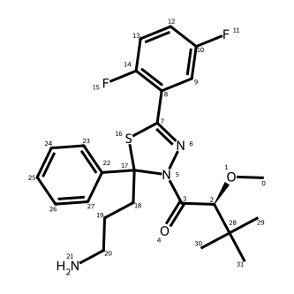 CO[C@H](C(=O)N1N=C(c2cc(F)ccc2F)SC1(CCCN)c1ccccc1)C(C)(C)C